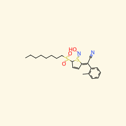 CCCCCCCCS(=O)(=O)C1C=CC(=C(C#N)c2ccccc2C)S1=NO